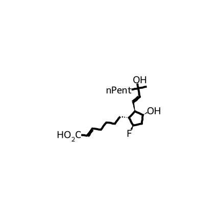 CCCCCC(C)(O)/C=C/[C@@H]1[C@@H](CCCC/C=C/C(=O)O)[C@H](F)C[C@H]1O